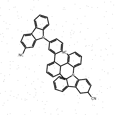 CC1C=CC=C(c2cccc(-n3c4ccccc4c4ccc(C#N)cc43)c2)C1c1c(C#N)cccc1-n1c2c(c3ccccc31)CC(C#N)C=C2